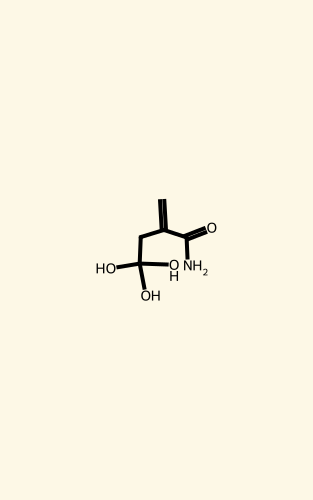 C=C(CC(O)(O)O)C(N)=O